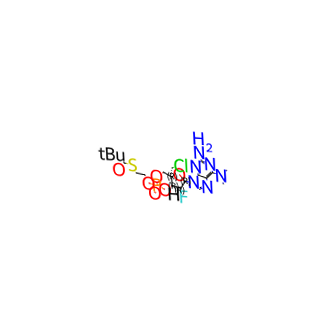 CN(C)c1nc(N)nc2c1ncn2[C@@H]1O[C@]2(CCl)COP(=O)(OCCSC(=O)C(C)(C)C)O[C@H]2[C@H]1F